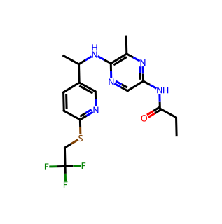 CCC(=O)Nc1cnc(NC(C)c2ccc(SCC(F)(F)F)nc2)c(C)n1